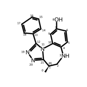 C[C@@H]1CNc2ccc(O)cc2-n2c(-c3ccccc3)nnc21